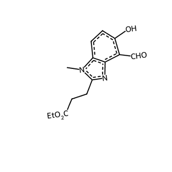 CCOC(=O)CCc1nc2c(C=O)c(O)ccc2n1C